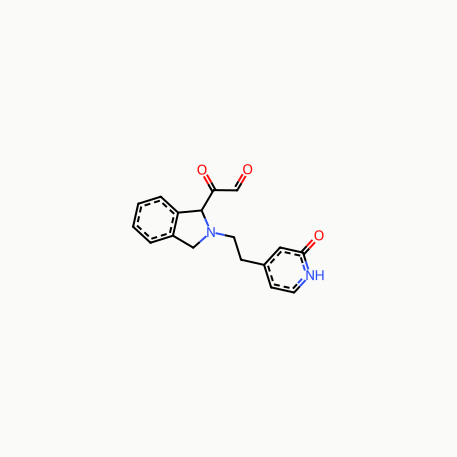 O=CC(=O)C1c2ccccc2CN1CCc1cc[nH]c(=O)c1